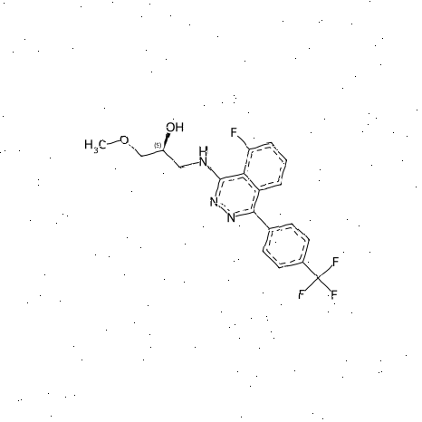 COC[C@@H](O)CNc1nnc(-c2ccc(C(F)(F)F)cc2)c2cccc(F)c12